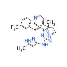 Cc1cc(NC2=N/C(NCc3ccncc3)=C/CC(C)C(/C=C/c3cccc(C(F)(F)F)c3)=N\2)n[nH]1